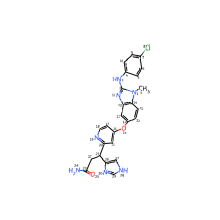 Cn1c(Nc2ccc(Cl)cc2)nc2cc(Oc3ccnc(C(CC(N)=O)c4c[nH]cn4)c3)ccc21